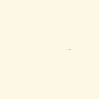 CC=CC[C@H]1CC[C@H](c2ccc(COCC)cc2)CC1